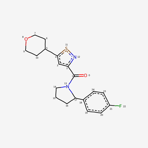 O=C(c1cc(C2CCOCC2)sn1)N1CCCC1c1ccc(F)cc1